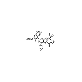 C=CC(=O)N[C@H]1COC[C@H]1Nc1ncc2cc(-c3c(F)c(OC)cc(OC)c3F)nc(N3CCOCC3)c2n1